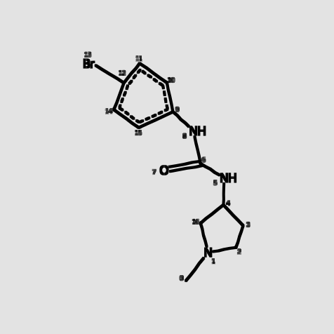 CN1CCC(NC(=O)Nc2ccc(Br)cc2)C1